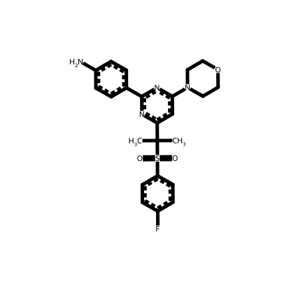 CC(C)(c1cc(N2CCOCC2)nc(-c2ccc(N)cc2)n1)S(=O)(=O)c1ccc(F)cc1